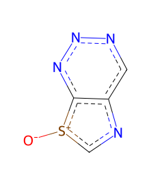 [O-][s+]1cnc2cnnnc21